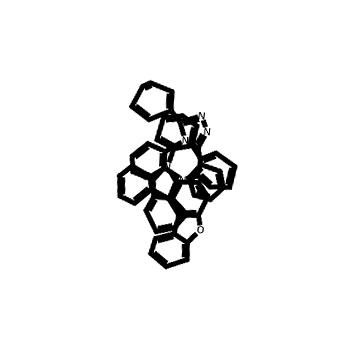 c1ccc(-c2nnc(-c3ccccc3)n2-c2cccc3c4ccccc4n(-c4ccccc4-c4ccccc4-n4c5ccccc5c5c6c(ccc54)oc4ccccc46)c23)cc1